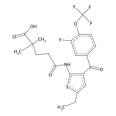 CCc1cc(C(=O)c2ccc(OC(F)(F)F)c(F)c2)c(NC(=O)CCC(C)(C)C(=O)O)s1